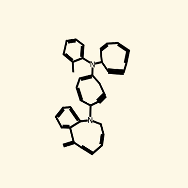 C=C1/C=C\C=C/CN(C2C#CC/C(N(c3ccccc3C)C3C#CC=C=C/C=C\3)=C\C=C/2)c2ccccc21